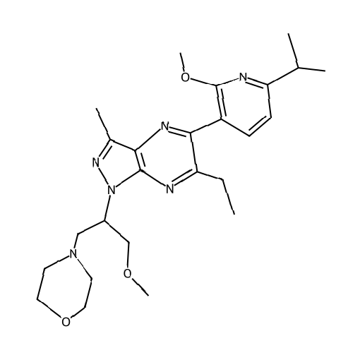 CCc1nc2c(nc1-c1ccc(C(C)C)nc1OC)c(C)nn2C(COC)CN1CCOCC1